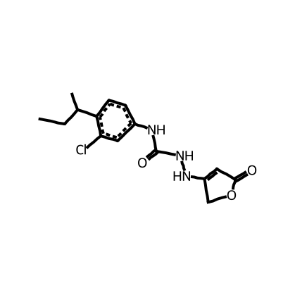 CCC(C)c1ccc(NC(=O)NNC2=CC(=O)OC2)cc1Cl